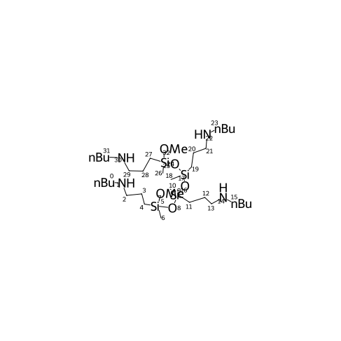 CCCCNCCC[Si](C)(OC)O[Si](C)(CCCNCCCC)O[Si](C)(CCCNCCCC)O[Si](C)(CCCNCCCC)OC